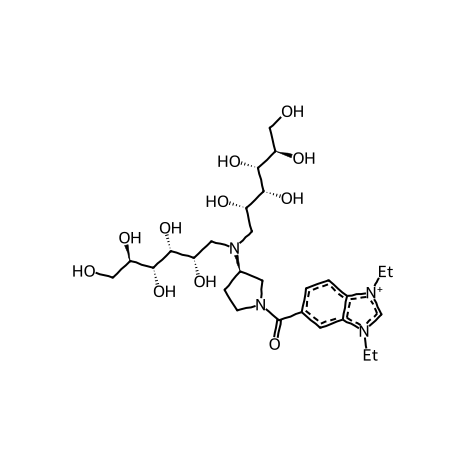 CCn1c[n+](CC)c2ccc(C(=O)N3CC[C@@H](N(C[C@H](O)[C@@H](O)[C@H](O)[C@H](O)CO)C[C@H](O)[C@@H](O)[C@H](O)[C@H](O)CO)C3)cc21